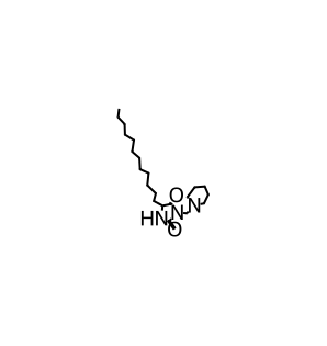 CCCCCCCCCCCCC1NC(=O)N(CN2CCCCC2)C1=O